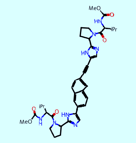 COC(=O)NC(C(=O)N1CCCC1c1ncc(C#Cc2ccc3cc(-c4cnc(C5CCCN5C(=O)C(NC(=O)OC)C(C)C)[nH]4)ccc3c2)[nH]1)C(C)C